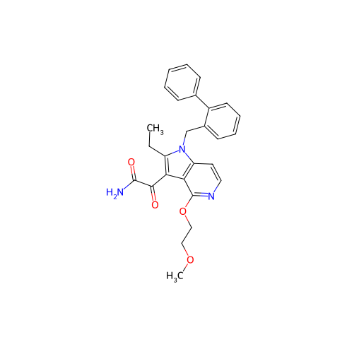 CCc1c(C(=O)C(N)=O)c2c(OCCOC)nccc2n1Cc1ccccc1-c1ccccc1